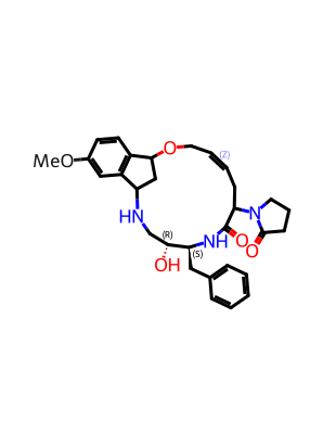 COc1ccc2c(c1)C1CC2OC/C=C\CC(N2CCCC2=O)C(=O)N[C@@H](Cc2ccccc2)[C@H](O)CN1